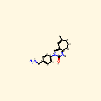 CC1=Cc2cn(-c3ccc(CN)cc3)c(=O)nc2CCC1